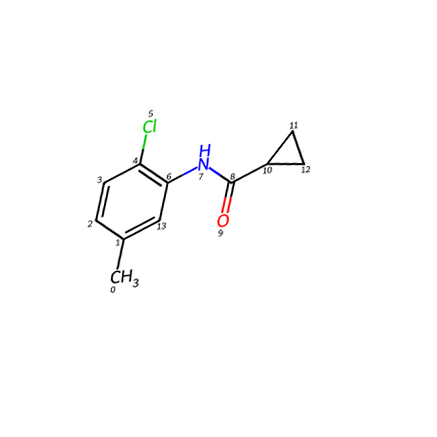 Cc1ccc(Cl)c(NC(=O)C2CC2)c1